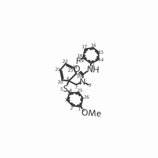 COc1ccc(SC2(CN(C)C(=O)Nc3ccccc3F)C=CC=CC2)cc1